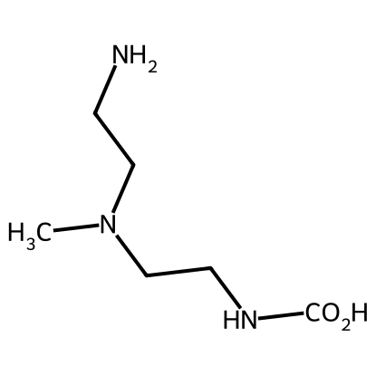 CN(CCN)CCNC(=O)O